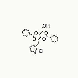 OCC1OC(c2ccccc2)OC2C(Cc3cccnc3Cl)OC(c3ccccc3)OC12